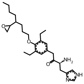 CCCCC(CCCOc1c(CC)cc(CC(=O)[C@@H](N)Cc2c[nH]cn2)cc1CC)C1CO1